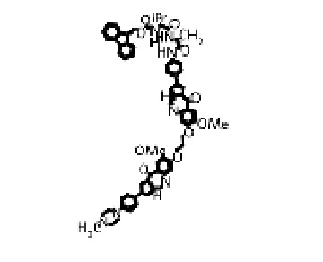 COc1cc2c(cc1OCCCOc1cc3c(cc1OC)C(=O)C1C=C(c4ccc(N5CCN(C)CC5)cc4)C[C@H]1C=N3)N=C[C@@H]1CC(c3ccc(NC(=O)[C@H](C)NC(=O)[C@@H](NC(=O)OCC4c5ccccc5-c5ccccc54)C(C)C)cc3)=CC1C2=O